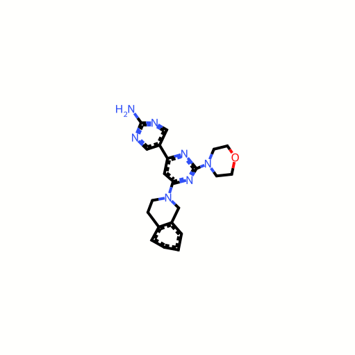 Nc1ncc(-c2cc(N3CCc4ccccc4C3)nc(N3CCOCC3)n2)cn1